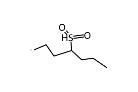 [CH2]CCC(CCC)[SH](=O)=O